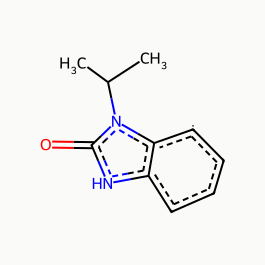 CC(C)n1c(=O)[nH]c2ccc[c]c21